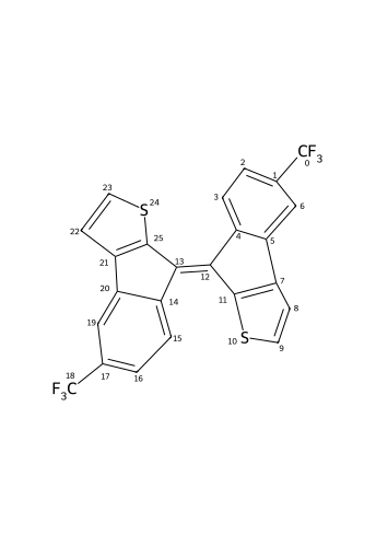 FC(F)(F)c1ccc2c(c1)-c1ccsc1/C2=C1\c2ccc(C(F)(F)F)cc2-c2ccsc21